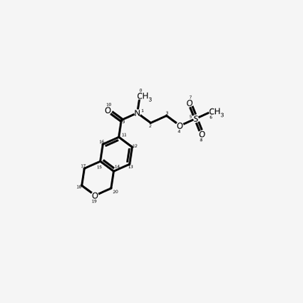 CN(CCOS(C)(=O)=O)C(=O)c1ccc2c(c1)CCOC2